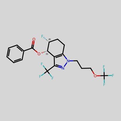 O=C(O[C@H]1c2c(C(F)(F)F)nn(CCCOC(F)(F)F)c2CC[C@H]1F)c1ccccc1